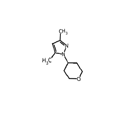 Cc1cc(C)n(C2CCOCC2)n1